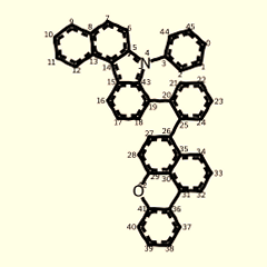 c1ccc(-n2c3ccc4ccccc4c3c3cccc(-c4ccccc4-c4ccc5c6c(cccc46)-c4ccccc4O5)c32)cc1